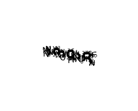 Cc1c([C@H]2CN3CCN(C(=O)Cc4ccc(-n5cnnn5)cn4)C[C@H]3CN2)ccc(F)c1C#N